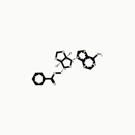 Nc1ncnc2c1ncn2[C@@H]1O[C@H](COC(=O)c2ccccc2)[C@H]2OCO[C@H]21